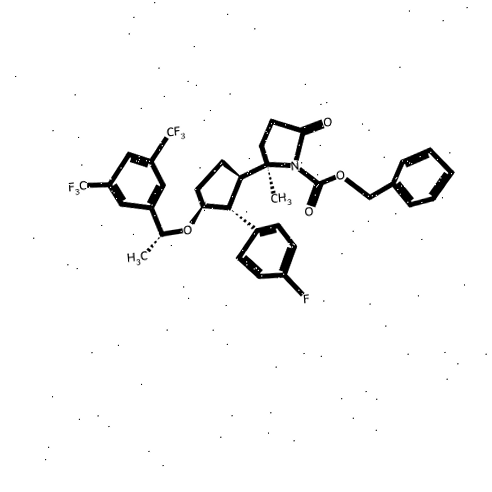 C[C@@H](O[C@H]1CC[C@@H]([C@@]2(C)CCC(=O)N2C(=O)OCc2ccccc2)[C@@H]1c1ccc(F)cc1)c1cc(C(F)(F)F)cc(C(F)(F)F)c1